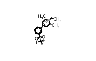 CCN1[C@H](C)CN(c2cccc(S(=O)(=O)C(F)(F)F)c2)C[C@@H]1C